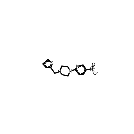 O=[N+]([O-])c1ccc(N2CCN(Cc3cccs3)CC2)nc1